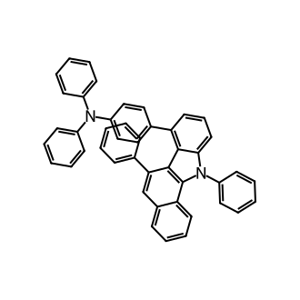 c1ccc(-c2cc3ccccc3c3c2c2c(-c4ccc(N(c5ccccc5)c5ccccc5)cc4)cccc2n3-c2ccccc2)cc1